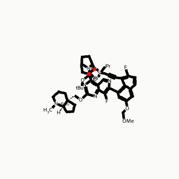 COCOc1cc(-c2ncc3c(N4CC5CCC(C4)N5C(=O)OC(C)(C)C)nc(OC[C@]45CCC[C@H]4N(C)CCC5)nc3c2F)c2c(C#C[Si](C(C)C)(C(C)C)C(C)C)c(F)ccc2c1